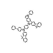 CC1(C)c2ccccc2-c2ccc(N(c3ccc(-c4ccccc4)cc3)c3ccc(-n4c5cc6ccn(-c7ccccc7)c6cc5c5cc6c(cc54)sc4ccccc46)cc3)cc21